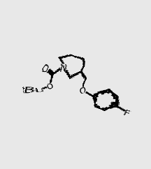 CC(C)(C)OC(=O)N1CCCC(COc2ccc(F)cc2)C1